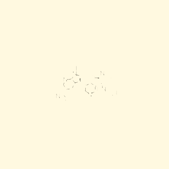 CC(C)[C@@](NCC(F)(F)F)(C(N)=O)c1cncc(-c2c[nH]c3ncc(C(=O)N4CCC4)cc23)c1